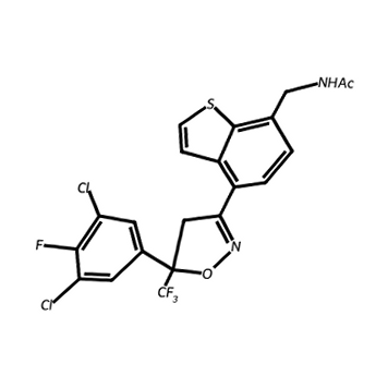 CC(=O)NCc1ccc(C2=NOC(c3cc(Cl)c(F)c(Cl)c3)(C(F)(F)F)C2)c2ccsc12